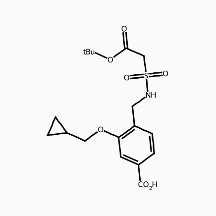 CC(C)(C)OC(=O)CS(=O)(=O)NCc1ccc(C(=O)O)cc1OCC1CC1